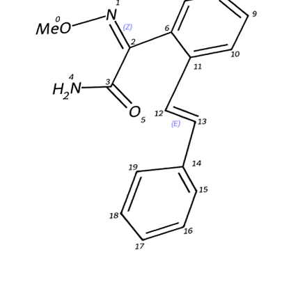 CO/N=C(\C(N)=O)c1ccccc1/C=C/c1ccccc1